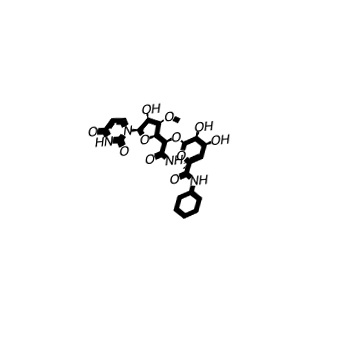 CO[C@H]1[C@@H](O)[C@H](n2ccc(=O)[nH]c2=O)O[C@@H]1[C@@H](O[C@H]1OC(C(=O)NC2CCCCC2)=C[C@H](O)[C@@H]1O)C(N)=O